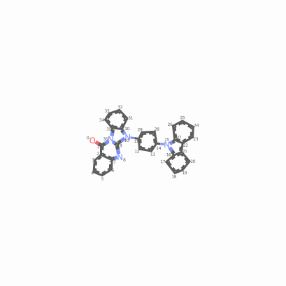 O=c1c2ccccc2nc2n(-c3ccc(-n4c5ccccc5c5ccccc54)cc3)c3ccccc3n12